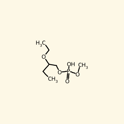 CCOC(CC)COP(=O)(O)OC